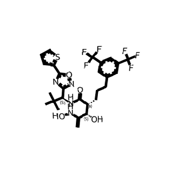 C=C(NO)[C@@H](O)[C@@H](CCCc1cc(C(F)(F)F)cc(C(F)(F)F)c1)C(=O)N[C@H](c1noc(-c2cccs2)n1)C(C)(C)C